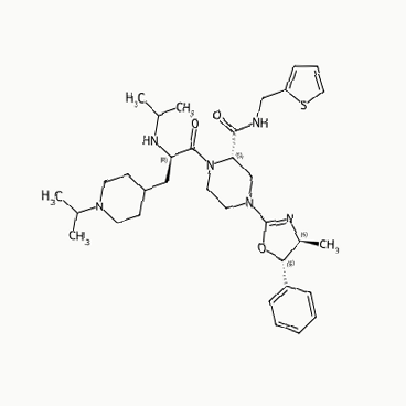 CC(C)N[C@H](CC1CCN(C(C)C)CC1)C(=O)N1CCN(C2=N[C@@H](C)[C@H](c3ccccc3)O2)C[C@H]1C(=O)NCc1cccs1